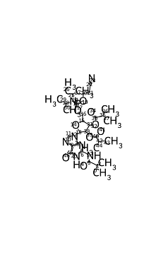 CC(C)C(=O)Nc1nc2c(ncn2C2OC(COP(OCCC#N)N(C(C)C)C(C)C)[C@@H](OC(=O)C(C)C)C2OC(=O)C(C)C)c(=O)[nH]1